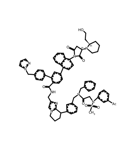 CC(=O)c1cccc(N(CC(=O)N(Cc2ccccc2)Cc2cccc(C3CCCn4cc(CNC(=O)c5ccc(-c6ccc(N7C(=O)C[C@@H](N8CCCC[C@@H]8CCO)C7=O)c7ccccc67)cc5-c5ccc(Cn6cccn6)cc5)nc43)c2)S(C)(=O)=O)c1